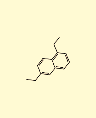 CCc1ccc2c(CC)cccc2c1